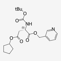 CC(C)(C)OC(=O)N[C@@H](CC(=O)OC1CCCC1)C(=O)OCc1cccnc1